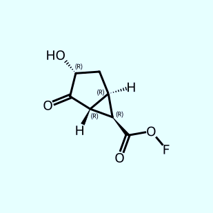 O=C(OF)[C@@H]1[C@@H]2C[C@@H](O)C(=O)[C@H]21